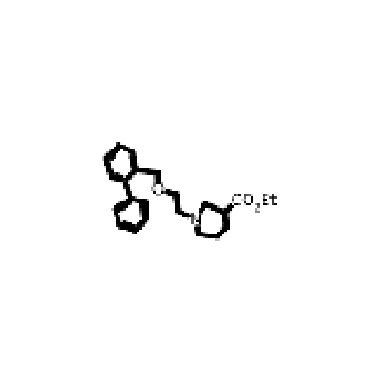 CCOC(=O)C1CCCN(CCOCc2ccccc2-c2ccccc2)C1